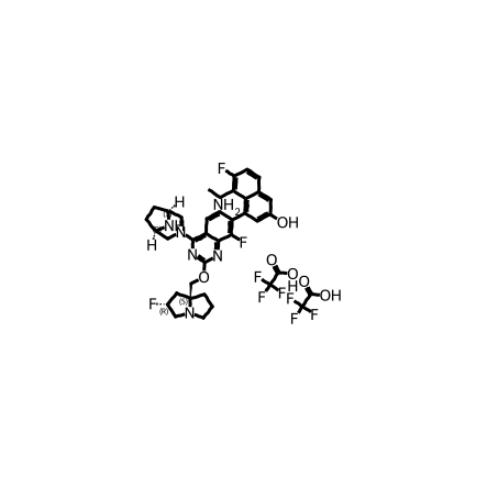 CCc1c(F)ccc2cc(O)cc(-c3c(N)cc4c(N5C[C@H]6CC[C@@H](C5)N6)nc(OC[C@@]56CCCN5C[C@H](F)C6)nc4c3F)c12.O=C(O)C(F)(F)F.O=C(O)C(F)(F)F